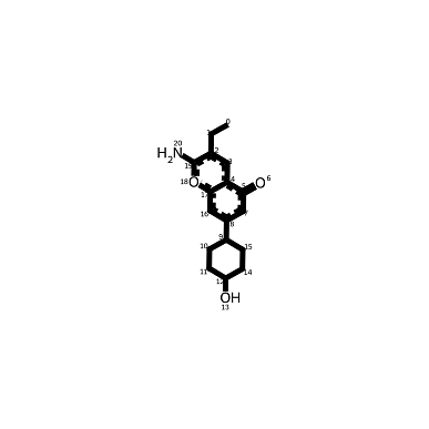 CCc1cc2c(=O)cc(C3CCC(O)CC3)cc-2oc1N